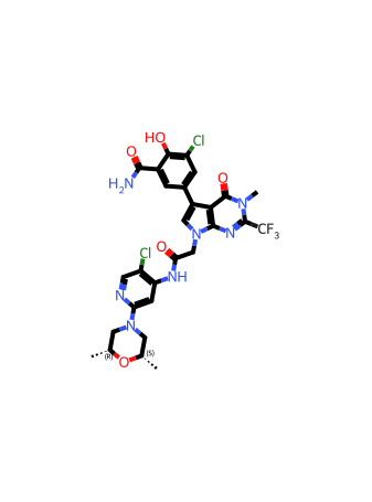 C[C@@H]1CN(c2cc(NC(=O)Cn3cc(-c4cc(Cl)c(O)c(C(N)=O)c4)c4c(=O)n(C)c(C(F)(F)F)nc43)c(Cl)cn2)C[C@H](C)O1